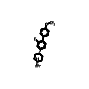 CCC[Si@H]1CC[C@H](c2ccc(-c3ccc(OC(F)(F)F)cc3)c(F)c2)CC1